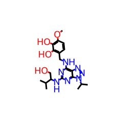 COc1ccc(CNc2nc(NC(CO)C(C)C)nc3c2nnn3C(C)C)c(O)c1O